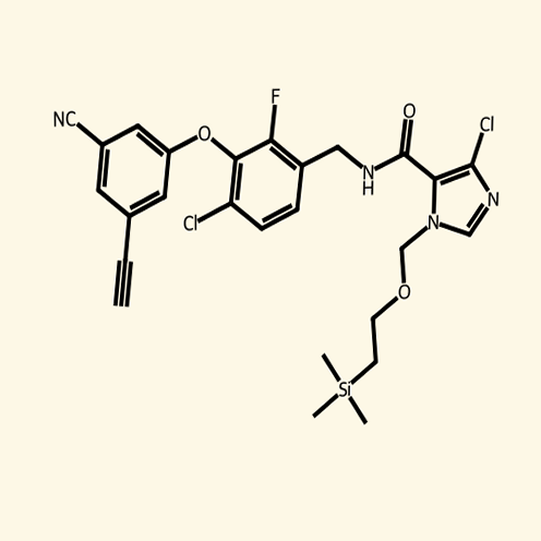 C#Cc1cc(C#N)cc(Oc2c(Cl)ccc(CNC(=O)c3c(Cl)ncn3COCC[Si](C)(C)C)c2F)c1